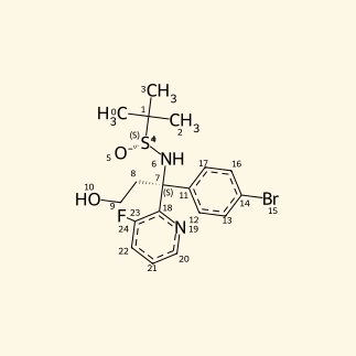 CC(C)(C)[S@@+]([O-])N[C@@](CCO)(c1ccc(Br)cc1)c1ncccc1F